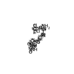 Nc1ncc(-c2cnn(C3CCN(C(=O)CNc4cccc5c4C(=O)N([C@@H]4CCC(=O)NC4=O)C5=O)CC3)c2)cc1OCCc1c(Cl)ccc(F)c1Cl